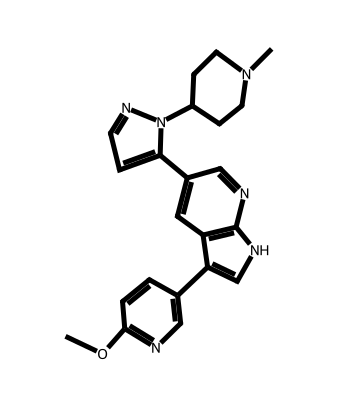 COc1ccc(-c2c[nH]c3ncc(-c4ccnn4C4CCN(C)CC4)cc23)cn1